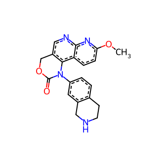 COc1ccc2c3c(cnc2n1)COC(=O)N3c1ccc2c(c1)CNCC2